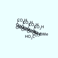 COC1=CCC(C=CC(=O)O)C(COc2cc(CCC(=O)O)c(COc3cc(CCC(=O)O)c(COc4cc(CCC(=O)O)c(COc5cc(CCC(=O)O)ccc5OC)cc4OC)cc3OC)cc2OC)=C1